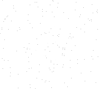 Oc1ccccc1-n1nnc(S)c1-c1ccc(Br)cc1